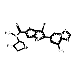 Cc1cc(-c2[nH]c3cc(C(=O)N(C)C4CNC[C@@H]4F)sc3c2C(C)C)cn2ncnc12